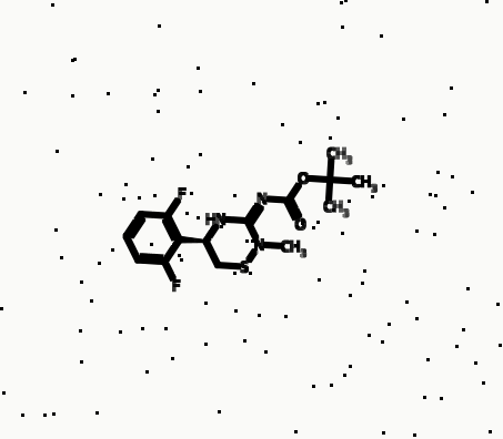 CN1SC[C@@H](c2c(F)cccc2F)N/C1=N/C(=O)OC(C)(C)C